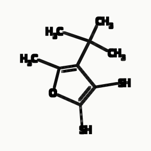 Cc1oc(S)c(S)c1C(C)(C)C